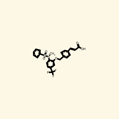 CN(c1ccc(C(F)(F)F)cc1OCc1ccc(C=CC(=O)O)cc1)S(=O)(=O)c1ccccc1